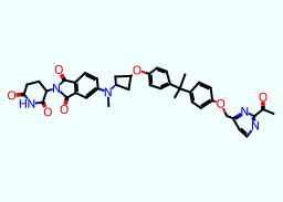 CC(=O)c1nccc(COc2ccc(C(C)(C)c3ccc(O[C@H]4C[C@H](N(C)c5ccc6c(c5)C(=O)N(C5CCC(=O)NC5=O)C6=O)C4)cc3)cc2)n1